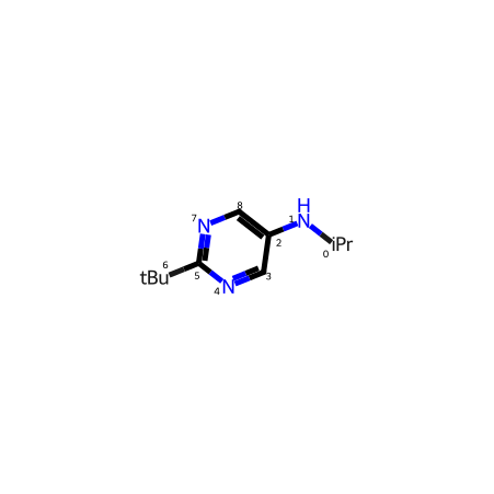 CC(C)Nc1cnc(C(C)(C)C)nc1